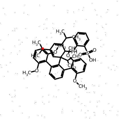 COc1cccc(OC)c1-c1cccc(-c2c(OC)cccc2OC)c1C1(C(C)C)C=C(C(C)C)C=C(C(C)C)C1Pc1ccccc1S(=O)(=O)O